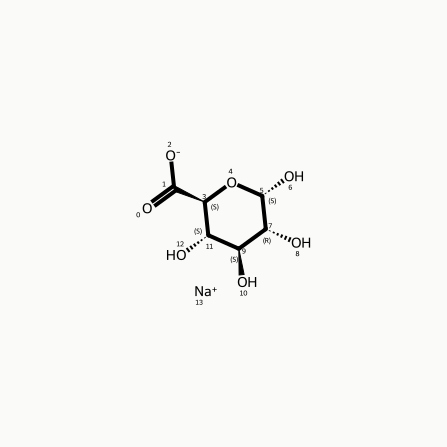 O=C([O-])[C@H]1O[C@H](O)[C@H](O)[C@@H](O)[C@@H]1O.[Na+]